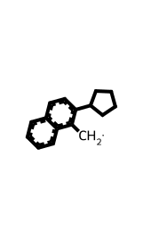 [CH2]c1c(C2CCCC2)ccc2ccccc12